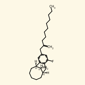 C=C(CCCCCCCCC)Cc1cc(F)c2c(c1)[C@H]1CCCCC[C@@H](C2)[C@@H]1N